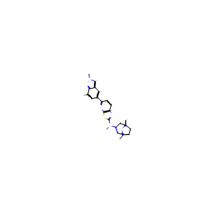 CN(c1nc2ccc(-c3cc(F)c4nn(C)cc4c3)nc2s1)C1CC2(C)CCC(C)(C1)N2